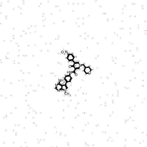 Cn1cc(-c2ccc(NC(=O)c3cn(CC4CCOCC4)cc(-c4ccc([N+](=O)[O-])cc4)c3=O)cc2)c2c(N)ncnc21